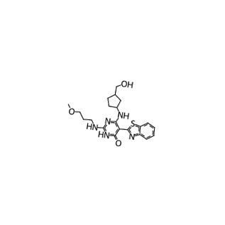 COCCCNc1nc(NC2CCC(CO)C2)c(-c2nc3ccccc3s2)c(=O)[nH]1